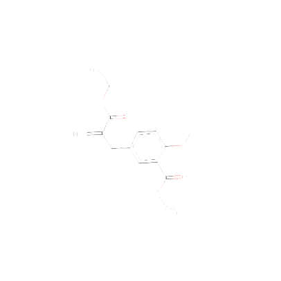 C=C(Cc1ccc(OC)c(C(=O)OC)c1)C(=O)OCC